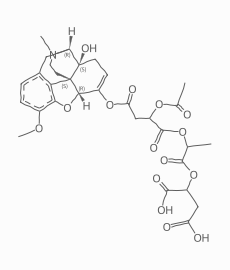 COc1ccc2c3c1O[C@H]1C(OC(=O)CC(OC(C)=O)C(=O)OC(C)C(=O)OC(CC(=O)O)C(=O)O)=CC[C@@]4(O)[C@@H](C2)N(C)CC[C@]314